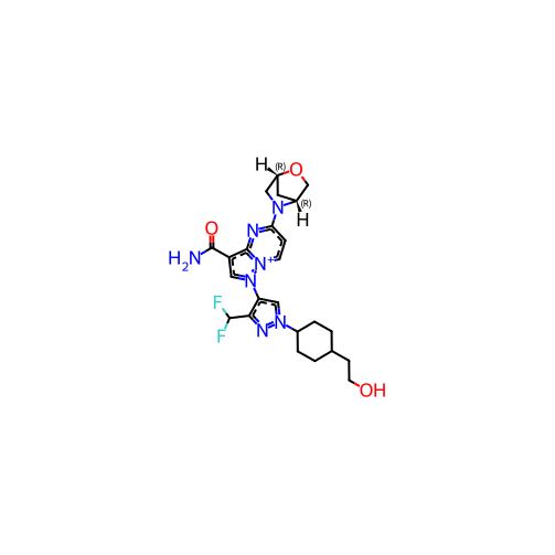 NC(=O)c1cn(-c2cn(C3CCC(CCO)CC3)nc2C(F)F)[n+]2ccc(N3C[C@H]4C[C@@H]3CO4)nc12